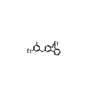 CCc1cc(C)cc(Cc2ccc3c(c2)c2ccccc2n3CC)c1